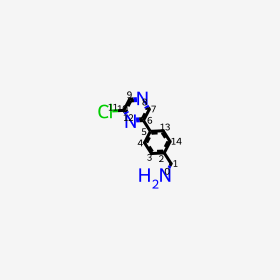 NCc1ccc(-c2cncc(Cl)n2)cc1